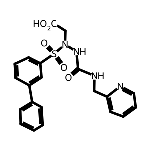 O=C(O)CN(NC(=O)NCc1ccccn1)S(=O)(=O)c1cccc(-c2ccccc2)c1